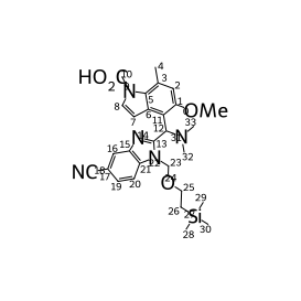 COc1cc(C)c2c(ccn2C(=O)O)c1C(c1nc2cc(C#N)ccc2n1COCC[Si](C)(C)C)N(C)C